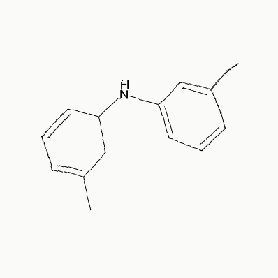 CC1=CC=CC(Nc2cccc(C)c2)C1